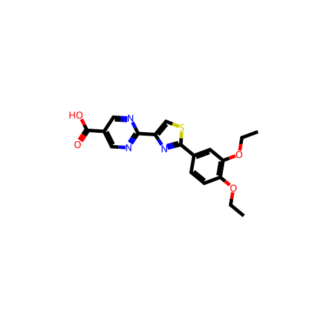 CCOc1ccc(-c2nc(-c3ncc(C(=O)O)cn3)cs2)cc1OCC